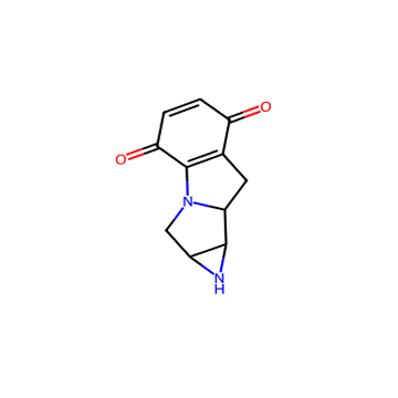 O=C1C=CC(=O)C2=C1CC1C3NC3CN21